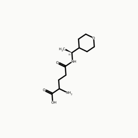 C[C@H](NC(=O)CCC(N)C(=O)O)C1CCOCC1